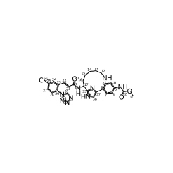 COC(=O)Nc1ccc2c(c1)NCCCCCC(NC(=O)/C=C/c1cc(Cl)ccc1-n1cnnn1)c1nc-2c[nH]1